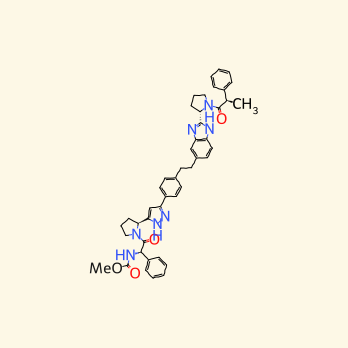 COC(=O)N[C@@H](C(=O)N1CCC[C@H]1c1cc(-c2ccc(CCc3ccc4[nH]c([C@@H]5CCCN5C(=O)[C@H](C)c5ccccc5)nc4c3)cc2)n[nH]1)c1ccccc1